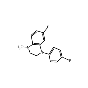 CN1CCN(c2ccc(F)cc2)c2cc(F)ccc21